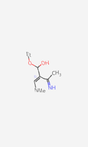 CCOC(O)/C(=C/NC)C(C)=N